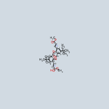 COC(=O)/C=C/c1cc(C(C)(C)C)cc2c1OC1OC2Oc2c(/C=C/C(O)OC)cc(C(C)(C)C)cc21